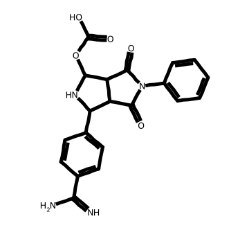 N=C(N)c1ccc(C2NC(OC(=O)O)C3C(=O)N(c4ccccc4)C(=O)C23)cc1